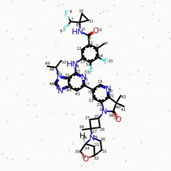 Cc1c(C(=O)NC2(C(F)F)CC2)cc(Nc2nc(-c3cnc4c(c3)N(C3CC(C)(N5CCC6C[C@H]5CO6)C3)C(=O)C4(C)C)cc3ncn(C(C)C)c23)c(F)c1F